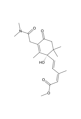 COC(=O)/C=C(C)\C=C\[C@@]1(O)C(C)=C(CC(=O)N(C)C)C(=O)CC1(C)C